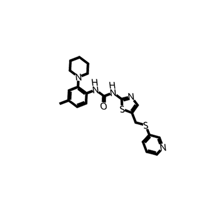 Cc1ccc(NC(=O)Nc2ncc(CSc3cccnc3)s2)c(N2CCCCC2)c1